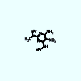 CCCNc1nc(N(C)CCC)nc(N)c1[N+](=O)[O-]